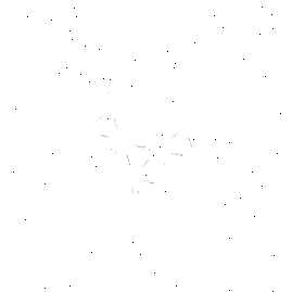 CCNC(=O)c1cc(Nc2ccc(SC(F)(F)F)cc2F)cnc1Nc1cc(C)cc(F)c1